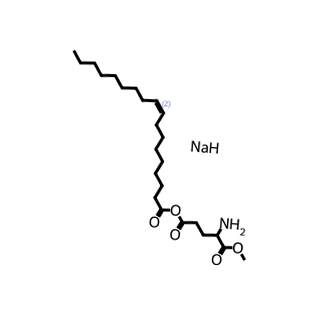 CCCCCCCC/C=C\CCCCCCCC(=O)OC(=O)CCC(N)C(=O)OC.[NaH]